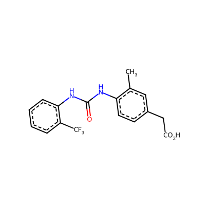 Cc1cc(CC(=O)O)ccc1NC(=O)Nc1ccccc1C(F)(F)F